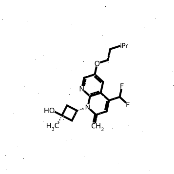 C=C1C=C(C(F)F)c2cc(OCCC(C)C)cnc2N1[C@H]1C[C@](C)(O)C1